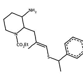 CCOC(=O)N1CCCC(N)C1C/C(C)=C/SC(C)c1ccccc1